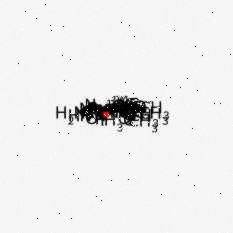 CC(C)(C)OC(=O)[14C@H]([14CH2][14c]1[14cH][14cH][14c](OC(C)(C)C)[14cH][14cH]1)NC(=O)c1ccc(N(Cc2cnc3nc(N)[nH]c(=O)c3n2)C(=O)C(F)(F)F)cc1